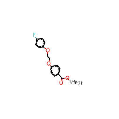 CCCCCCCOC(=O)c1ccc(OCCOc2ccc(F)cc2)cc1